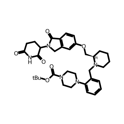 CC(C)(C)OC(=O)N1CCN(c2ccccc2CN2CCCC[C@@H]2COc2ccc3c(c2)CN(C2CCC(=O)NC2=O)C3=O)CC1